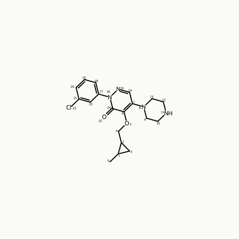 CC1CC1COc1c(N2CCNCC2)cnn(-c2cccc(Cl)c2)c1=O